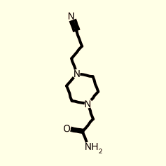 N#CCCN1CCN(CC(N)=O)CC1